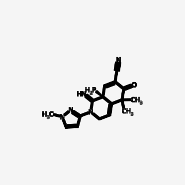 Cn1ccc(N2CC=C3C(C)(C)C(=O)C(C#N)=C[C@@]3(P)C2=N)n1